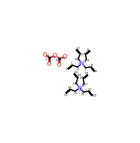 C=CC[N+](CC=C)(CC=C)CC=C.C=CC[N+](CC=C)(CC=C)CC=C.O=C([O-])OC(=O)[O-]